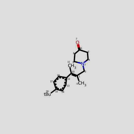 CC(CN1CCC(=O)CC1)=C(C)c1ccc(C(C)(C)C)cc1